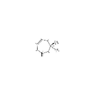 C[C@]1(N)CC=CCNC1